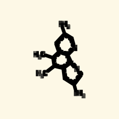 Bc1cnc2c(c1)c(C)c(C)c1cc(B)cnc12